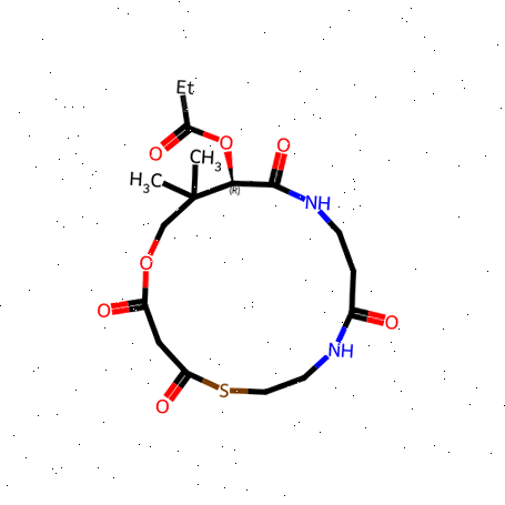 CCC(=O)O[C@H]1C(=O)NCCC(=O)NCCSC(=O)CC(=O)OCC1(C)C